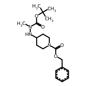 CN(NC1CCN(C(=O)OCc2ccccc2)CC1)C(=O)OC(C)(C)C